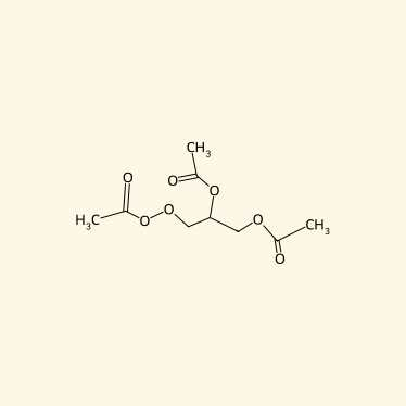 CC(=O)OCC(COOC(C)=O)OC(C)=O